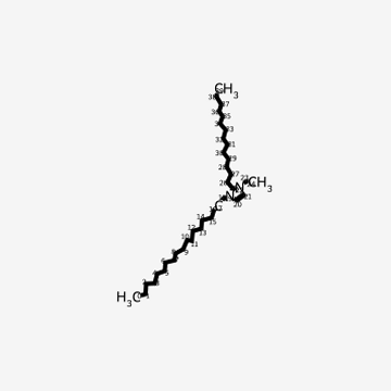 CCCCCCCCCCCCCCCCCCCN1C=CN(CC)C1CCCCCCCCCCCCCC